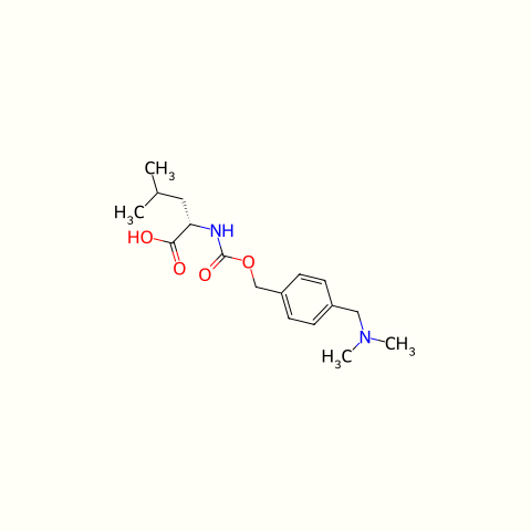 CC(C)C[C@H](NC(=O)OCc1ccc(CN(C)C)cc1)C(=O)O